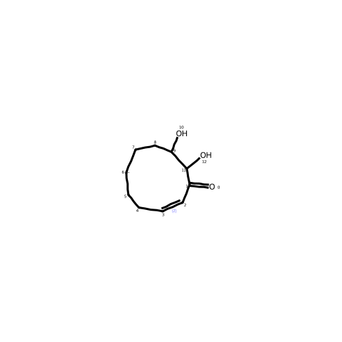 O=C1/C=C\CC[CH]CCC(O)C1O